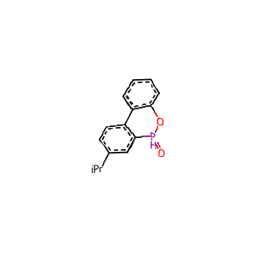 CC(C)c1ccc2c(c1)[PH](=O)Oc1ccccc1-2